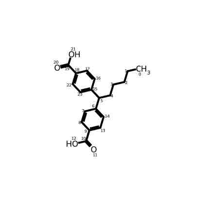 CCCCCC(c1ccc(C(=O)O)cc1)c1ccc(C(=O)O)cc1